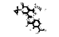 C[C@@H](Nc1nnc(N)c2cc(=O)n(C3(C)CC3)cc12)c1cccc(C(F)F)c1F.O=CO